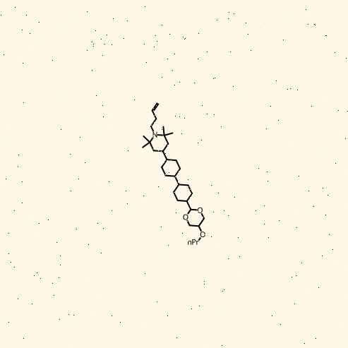 C=CCCN1C(C)(C)CC(C2CCC(C3CCC(C4OCC(OCCC)CO4)CC3)CC2)CC1(C)C